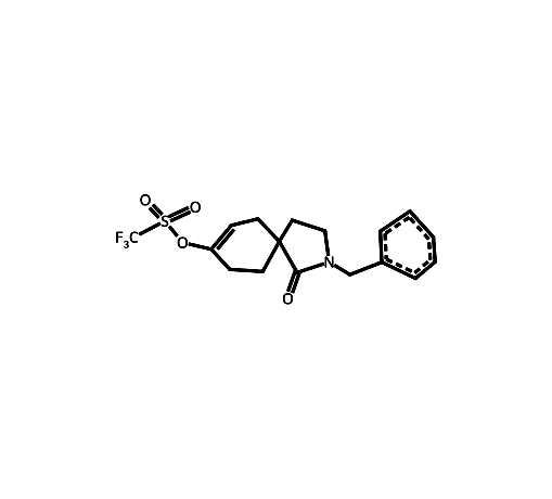 O=C1N(Cc2ccccc2)CCC12CC=C(OS(=O)(=O)C(F)(F)F)CC2